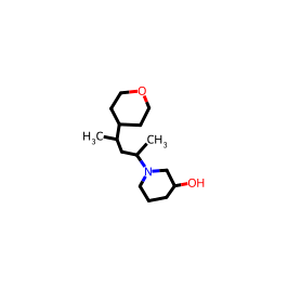 CC(CC(C)N1CCCC(O)C1)C1CCOCC1